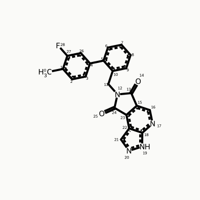 Cc1ccc(-c2ccccc2CN2C(=O)c3cnc4[nH]ncc4c3C2=O)cc1F